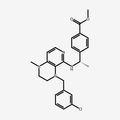 COC(=O)c1ccc([C@H](C)Nc2nccc3c2N(Cc2cccc(Cl)c2)CCN3C)cc1